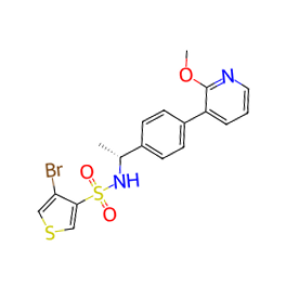 COc1ncccc1-c1ccc([C@@H](C)NS(=O)(=O)c2cscc2Br)cc1